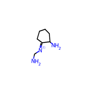 NC/N=C1\CCCCC1N